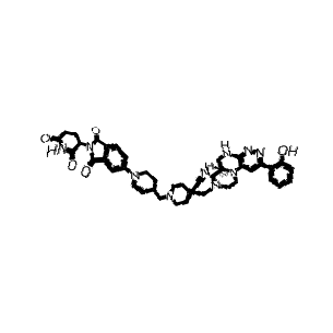 N#CC1(CN2CCN3c4cc(-c5ccccc5O)nnc4NC[C@H]3C2)CCN(CC2CCN(c3ccc4c(c3)C(=O)N(C3CCC(=O)NC3=O)C4=O)CC2)CC1